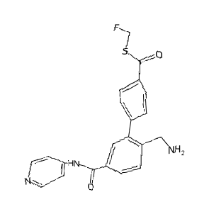 NCc1ccc(C(=O)Nc2ccncc2)cc1-c1ccc(C(=O)SCF)cc1